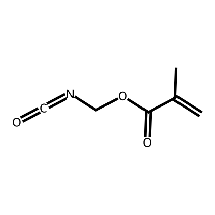 C=C(C)C(=O)OCN=C=O